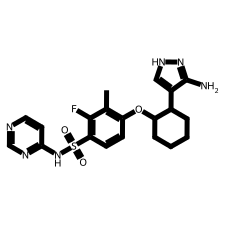 Cc1c(OC2CCCCC2c2c[nH]nc2N)ccc(S(=O)(=O)Nc2ccncn2)c1F